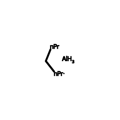 CC[CH]CCCC.[AlH3]